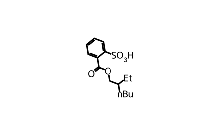 CCCCC(CC)COC(=O)c1ccccc1S(=O)(=O)O